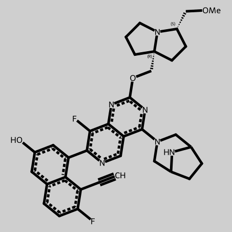 C#Cc1c(F)ccc2cc(O)cc(-c3ncc4c(N5CC6CCC(C5)N6)nc(OC[C@]56CCCN5[C@H](COC)CC6)nc4c3F)c12